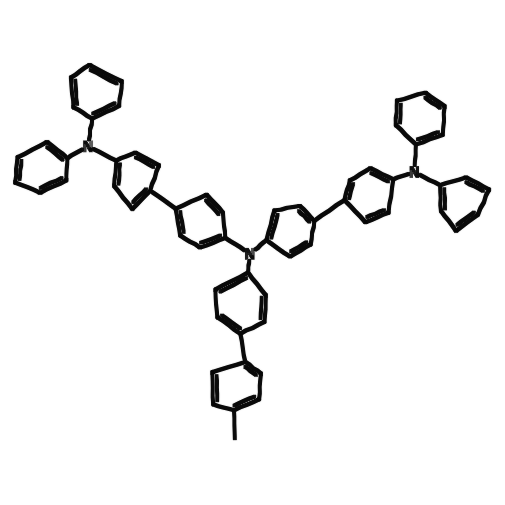 Cc1ccc(-c2ccc(N(c3ccc(-c4ccc(N(c5ccccc5)c5ccccc5)cc4)cc3)c3ccc(-c4ccc(N(c5ccccc5)c5ccccc5)cc4)cc3)cc2)cc1